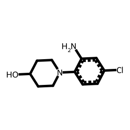 Nc1cc(Cl)ccc1N1CCC(O)CC1